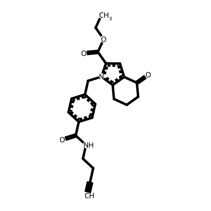 C#CCCNC(=O)c1ccc(Cn2c(C(=O)OCC)cc3c2CCCC3=O)cc1